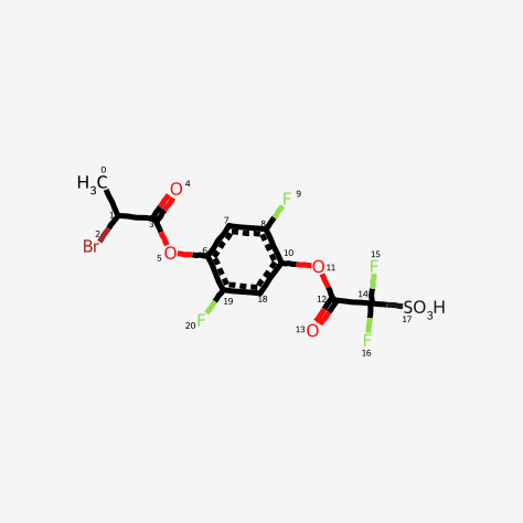 CC(Br)C(=O)Oc1cc(F)c(OC(=O)C(F)(F)S(=O)(=O)O)cc1F